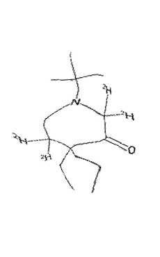 [2H]C1([2H])C(=O)C(CC)(CC)C([2H])([2H])CN1C(C)(C)C